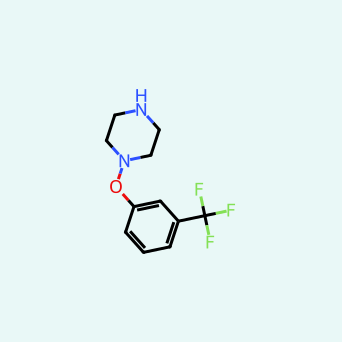 FC(F)(F)c1cccc(ON2CCNCC2)c1